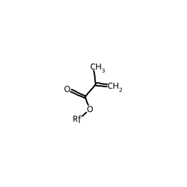 C=C(C)C(=O)[O][Rf]